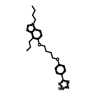 CCCCn1ccc2c(CCC)c(OCCCCOc3ccc(-c4nn[nH]n4)cc3)ccc21